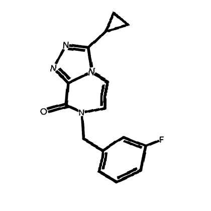 O=c1c2nnc(C3CC3)n2ccn1Cc1cccc(F)c1